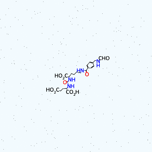 O=CNCc1ccc(C(=O)NCCCCC(NC(=O)NC(CCC(=O)O)C(=O)O)C(=O)O)cc1